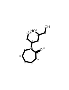 CC(=O)CC(CC(O)CO)N1CCCCCC1=O